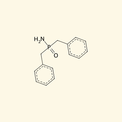 NP(=O)(Cc1ccccc1)Cc1ccccc1